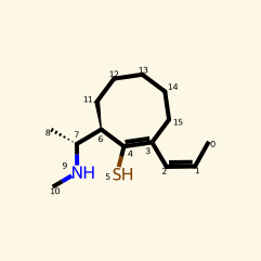 C/C=C\C1=C(/S)[C@@H]([C@@H](C)NC)CCCCC1